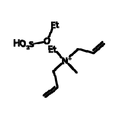 C=CC[N+](C)(CC)CC=C.CCOS(=O)(=O)O